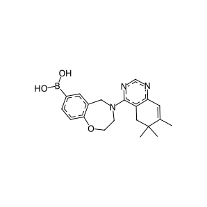 CC1=Cc2ncnc(N3CCOc4ccc(B(O)O)cc4C3)c2CC1(C)C